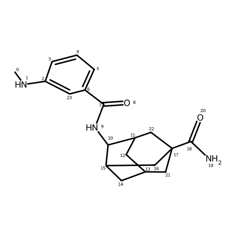 CNc1cccc(C(=O)NC2C3CC4CC2CC(C(N)=O)(C4)C3)c1